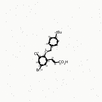 CC(C)(C)c1ccc(COc2c(Cl)cc(Br)cc2/C=C/C(=O)O)cc1